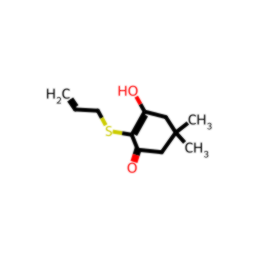 C=CCSC1=C(O)CC(C)(C)CC1=O